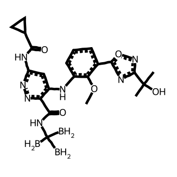 BC(B)(B)NC(=O)c1nnc(NC(=O)C2CC2)cc1Nc1cccc(-c2nc(C(C)(C)O)no2)c1OC